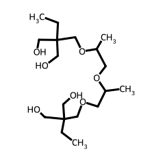 CCC(CO)(CO)COCC(C)OCC(C)OCC(CC)(CO)CO